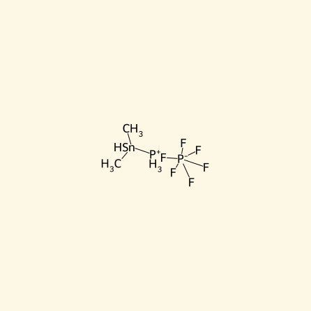 F[P-](F)(F)(F)(F)F.[CH3][SnH]([CH3])[PH3+]